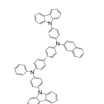 c1ccc(N(c2ccc(-c3ccc(N(c4ccc(-n5c6ccccc6c6ccccc65)cc4)c4ccc5ccccc5c4)cc3)cc2)c2ccc(-n3c4ccccc4c4ccccc43)cc2)cc1